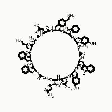 CCCC[C@H]1C(=O)N(C)CC(=O)N[C@@H](CC(=O)O)C(=O)N[C@@H](Cc2ccc(CN)cc2)C(=O)N(C)[C@@H](Cc2ccccc2)C(=O)N[C@@H](Cc2ccc(O)cc2)C(=O)N(C)CC(=O)N[C@@H](Cc2c[nH]c3ccccc23)C(=O)N[C@@H](Cc2ccc(O)cc2)C(=O)N[C@@H](CC(C)C)C(=O)N[C@H](C(=O)NCC(N)=O)CSCC(=O)N[C@@H](Cc2ccccc2)C(=O)N(C)C(Cc2ccccc2)C(=O)N1C